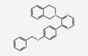 c1ccc(COc2ccc(-c3nccnc3N3CCc4cccnc4C3)cc2)nc1